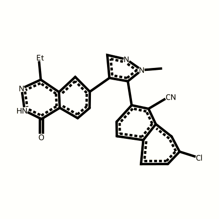 CCc1n[nH]c(=O)c2ccc(-c3cnn(C)c3-c3ccc4ccc(Cl)cc4c3C#N)cc12